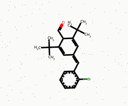 CC(C)(C)C1=CC(=Cc2ccccc2Br)C=C(C(C)(C)C)C1C=O